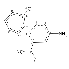 CC(C#N)c1cccc(N)c1.Clc1ccccc1